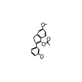 COc1cccc(C2=C(OC(C)=O)c3ccc(OC)cc3CC2)c1